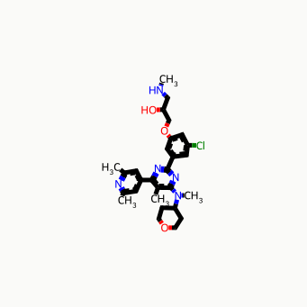 CNCC(O)COc1cc(Cl)cc(-c2nc(-c3cc(C)nc(C)c3)c(C)c(N(C)C3CCOCC3)n2)c1